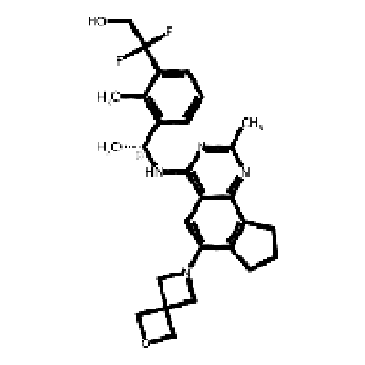 Cc1nc(N[C@H](C)c2cccc(C(F)(F)CO)c2C)c2cc(N3CC4(COC4)C3)c3c(c2n1)CCC3